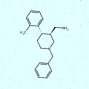 Cc1ccccc1[C@H]1CCN(Cc2ccccc2)C[C@@H]1CN